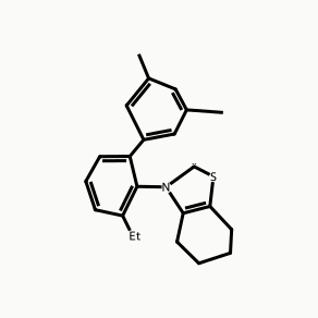 CCc1cccc(-c2cc(C)cc(C)c2)c1N1[C]SC2=C1CCCC2